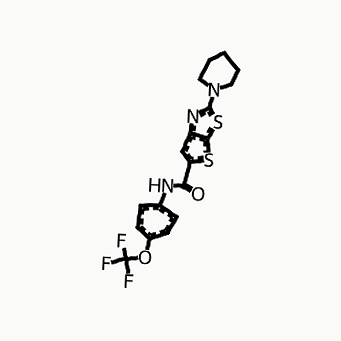 O=C(Nc1ccc(OC(F)(F)F)cc1)c1cc2nc(N3CCCCC3)sc2s1